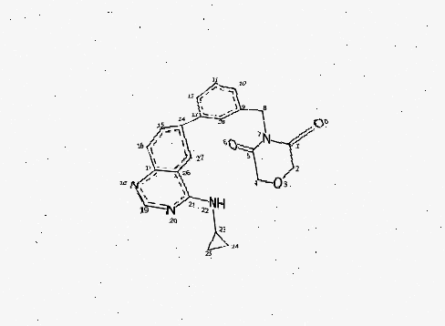 O=C1COCC(=O)N1Cc1cccc(-c2ccc3ncnc(NC4CC4)c3c2)c1